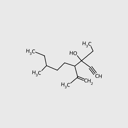 C#CC(O)(CC)C(CCC(C)CC)C(=C)C